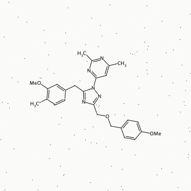 COc1ccc(COCc2nc(Cc3ccc(C)c(OC)c3)n(-c3cc(C)nc(C)n3)n2)cc1